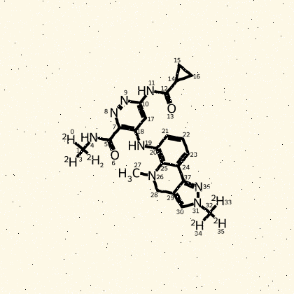 [2H]C([2H])([2H])NC(=O)c1nnc(NC(=O)C2CC2)cc1Nc1cccc2c1N(C)Cc1cn(C([2H])([2H])[2H])nc1-2